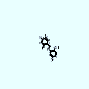 Oc1ccc(Br)cc1N=Cc1cc(F)c(F)cc1F